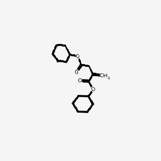 C=C(CC(=O)OC1CCCCC1)C(=O)OC1CCCCC1